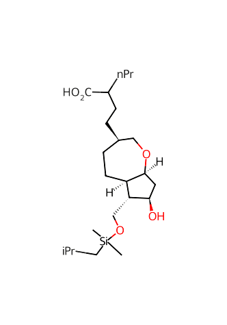 CCCC(CC[C@@H]1CC[C@@H]2[C@@H](CO[Si](C)(C)CC(C)C)[C@H](O)C[C@@H]2OC1)C(=O)O